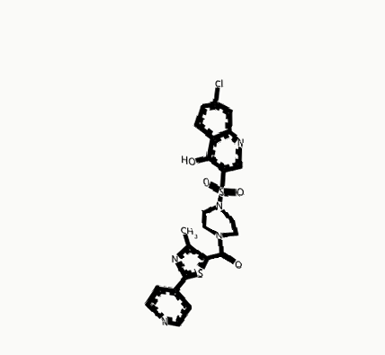 Cc1nc(-c2ccncc2)sc1C(=O)N1CCN(S(=O)(=O)c2cnc3cc(Cl)ccc3c2O)CC1